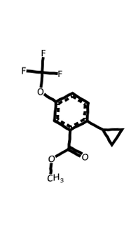 COC(=O)c1cc(OC(F)(F)F)ccc1C1CC1